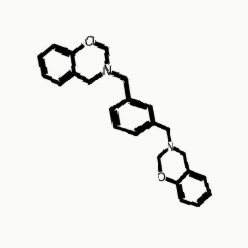 c1cc(CN2COc3ccccc3C2)cc(CN2COc3ccccc3C2)c1